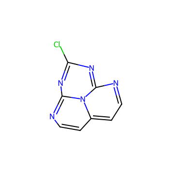 ClC1=NC2=NC=CC3=CC=NC(=N1)N32